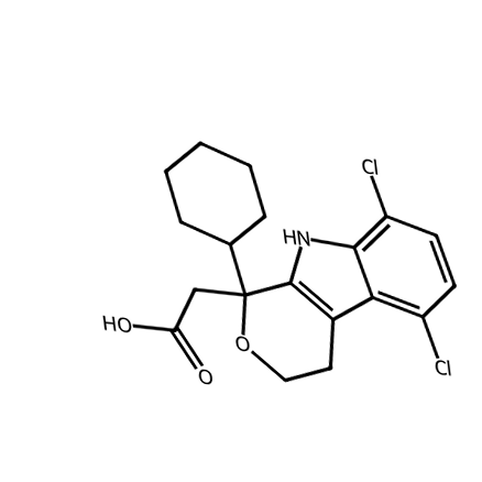 O=C(O)CC1(C2CCCCC2)OCCc2c1[nH]c1c(Cl)ccc(Cl)c21